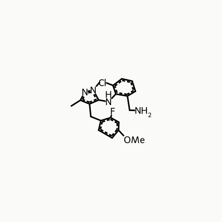 COc1ccc(Cc2c(C)nn(C)c2Nc2c(Cl)cccc2CN)c(F)c1